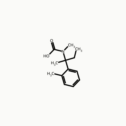 CCC(C)(c1ccccc1C)N(C)C(=O)O